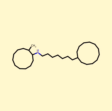 CC1CCCCCCCCCC1NCCCCCCCC1CCCCCCCCCCC1